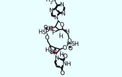 Nc1ncnc2c1ncn2[C@@H]1O[C@@H]2COP(=O)(S)O[C@@H]3[C@H](F)[C@@H](COP(=O)(S)O[C@@H]1[C@@H]2F)O[C@H]3n1ccc(=O)[nH]c1=O